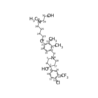 Cc1c(CN2CCC(O)(c3ccc(Cl)c(C(F)(F)F)c3)CC2)ccc(OCCCCN(C)CCO)c1C